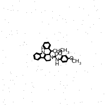 COc1ccc(NC(=O)N2CCc3c([nH]c4ccccc34)C2C(C)c2ccccc2)c(OC)c1